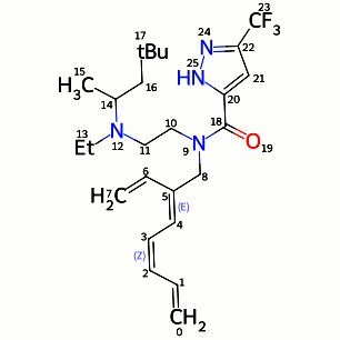 C=C/C=C\C=C(/C=C)CN(CCN(CC)C(C)CC(C)(C)C)C(=O)c1cc(C(F)(F)F)n[nH]1